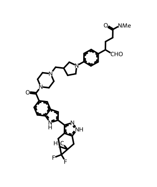 CNC(=O)CCC(C=O)c1ccc(N2CCC(CN3CCN(C(=O)c4ccc5[nH]c(-c6n[nH]c7c6CC6C(F)(F)C6(C)C7)cc5c4)CC3)C2)cc1